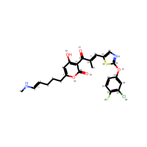 CN/C=C/CCCc1cc(O)c(C(=O)/C(C)=C/c2cnc(Oc3ccc(F)c(Cl)c3)s2)c(=O)o1